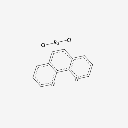 [Cl][Ru][Cl].c1cnc2c(c1)ccc1cccnc12